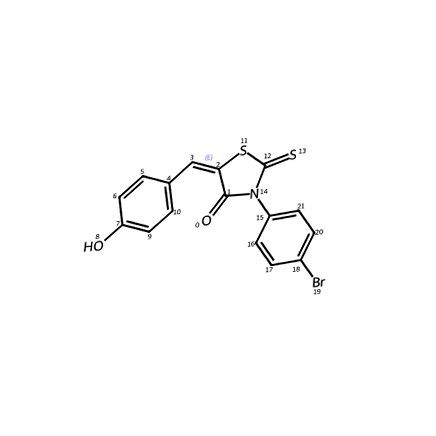 O=C1/C(=C\c2ccc(O)cc2)SC(=S)N1c1ccc(Br)cc1